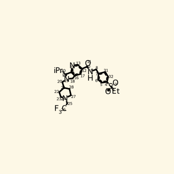 CCS(=O)(=O)c1ccc(CNC(=O)c2cnc3c(c2)CN(CC2CCN(CC(F)(F)F)CC2)[C@H]3C(C)C)cc1